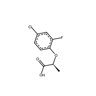 C[C@H](Oc1ccc(Cl)cc1F)C(=O)O